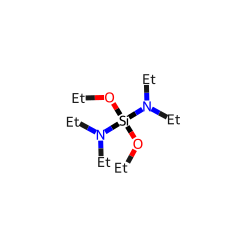 CCO[Si](OCC)(N(CC)CC)N(CC)CC